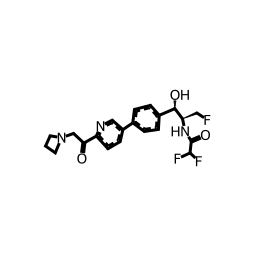 O=C(CN1CCC1)c1ccc(-c2ccc([C@@H](O)[C@@H](CF)NC(=O)C(F)F)cc2)cn1